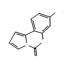 O=C(O)c1ccc2c(c1)[nH]c(=O)n1cccc21